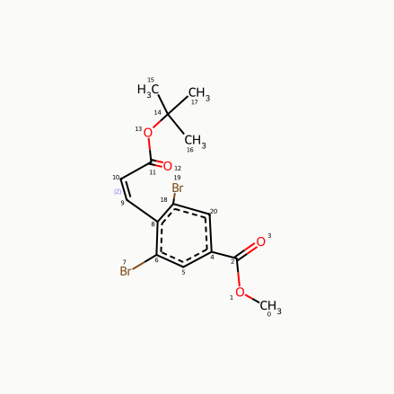 COC(=O)c1cc(Br)c(/C=C\C(=O)OC(C)(C)C)c(Br)c1